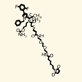 CC(C)(C)[C@H](c1cc(-c2cc(F)ccc2F)cn1Cc1ccccc1)N(CCCOC(N)=O)C(=O)CSCCC(=O)NCCOCCOCCNC(=O)CCCCCN1C(=O)C=CC1=O